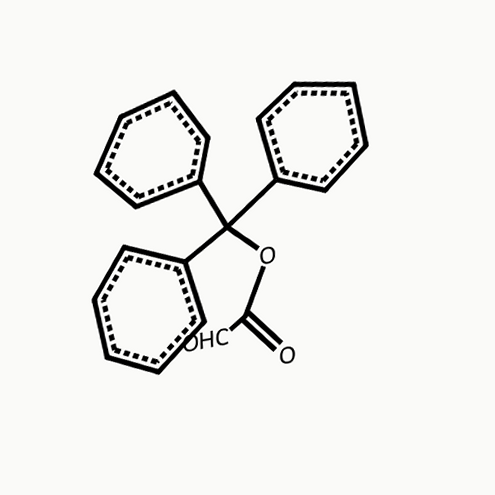 O=CC(=O)OC(c1ccccc1)(c1ccccc1)c1ccccc1